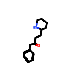 O=C(CCC1CCCCN1)Cc1ccccc1